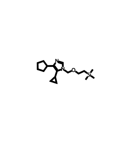 C[Si](C)(C)CCOCn1cnc(C2CCCC2)c1C1CC1